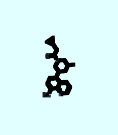 CC1CC(c2ccc(C#N)c3ncccc23)CN(C(=O)CC2CC2)C1